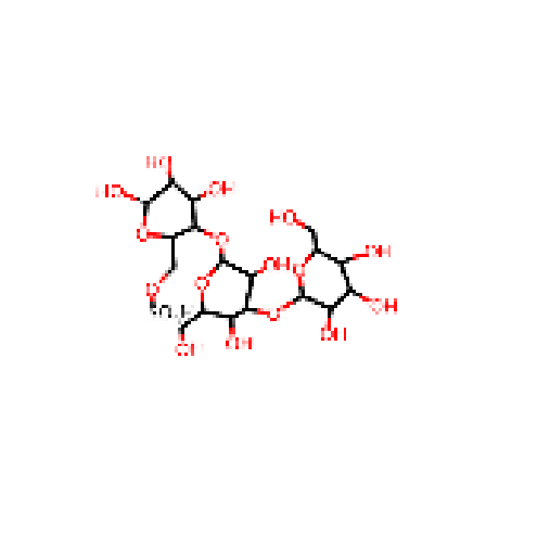 O=S(=O)(O)OC[C@H]1O[C@@H](O)C(O)C(O)C1OC1OC(CO)C(O)C(OC2OC(CO)C(O)C(O)C2O)C1O